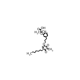 CCCCCCCn1nc(OCCCc2cccc(OC(C)(C)C(=O)O)c2)c(=O)n(C)c1=O